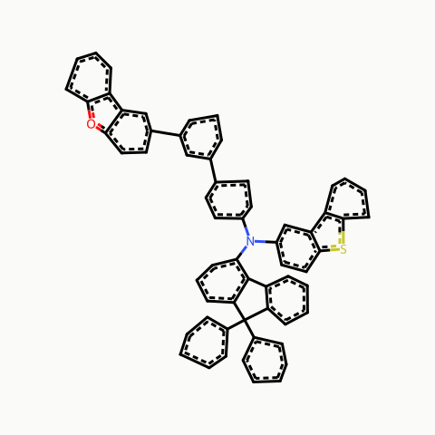 c1ccc(C2(c3ccccc3)c3ccccc3-c3c(N(c4ccc(-c5cccc(-c6ccc7oc8ccccc8c7c6)c5)cc4)c4ccc5sc6ccccc6c5c4)cccc32)cc1